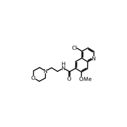 COc1cc2nccc(Cl)c2cc1C(=O)NCCN1CCOCC1